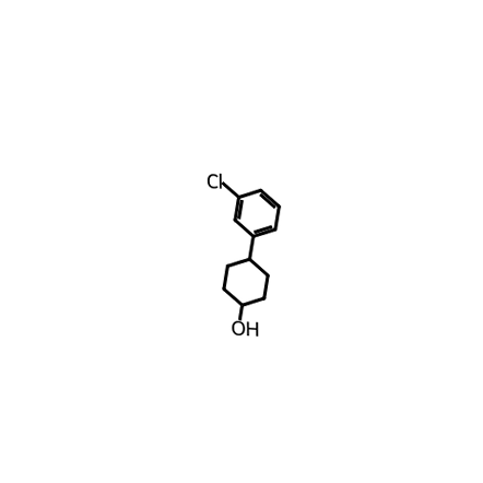 OC1CCC(c2cccc(Cl)c2)CC1